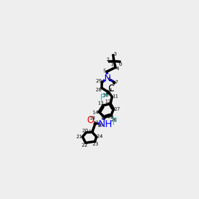 CC(C)(C)CCN1CCC(F)(Cc2ccc(NC(=O)C3CCCCC3)c(F)c2)CC1